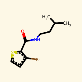 CC(C)CCNC(=O)c1sccc1Br